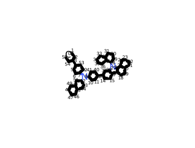 c1ccc(-c2ccc(N(c3ccc(-c4ccc5c6ccc7ccccc7c6n(-c6cccc7ccccc67)c5c4)cc3)c3ccc4ccccc4c3)cc2)cc1